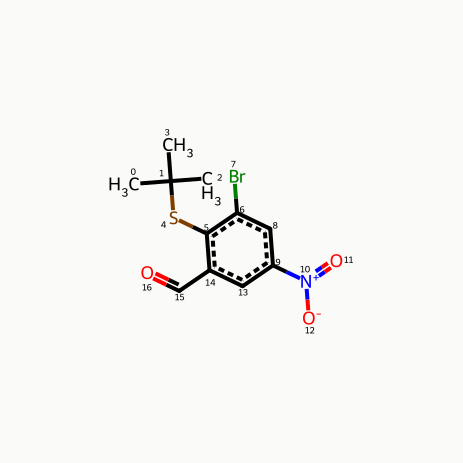 CC(C)(C)Sc1c(Br)cc([N+](=O)[O-])cc1C=O